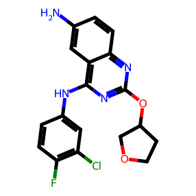 Nc1ccc2nc(OC3CCOC3)nc(Nc3ccc(F)c(Cl)c3)c2c1